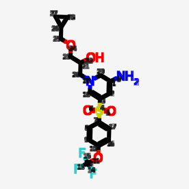 NC1=CC(S(=O)(=O)c2ccc(OC(F)(F)F)cc2)=CN(CC(O)COCC2CC2)C1